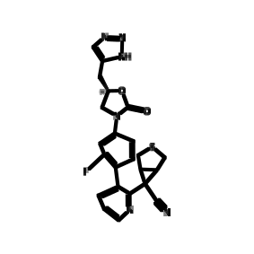 N#CC1(c2ncccc2-c2ccc(N3C[C@@H](Cc4cnn[nH]4)OC3=O)cc2F)C2CSCC21